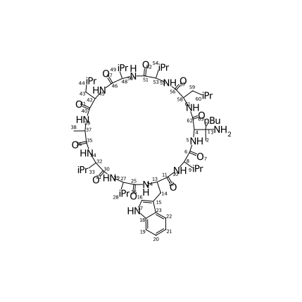 CCCCC(C)(N)C1NC(=O)C(C(C)C)NC(=O)C(Cc2c[nH]c3ccccc23)NC(=O)C(C(C)C)NC(=O)C(C(C)C)NC(=O)C(C)NC(=O)C(CC(C)C)NC(=O)C(C(C)C)NC(=O)C(C(C)C)NC(=O)C(CC(C)C)NC1=O